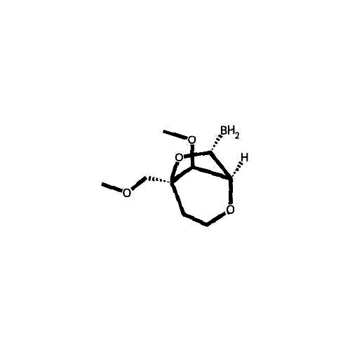 B[C@H]1O[C@]2(COC)CCO[C@H]1C2OC